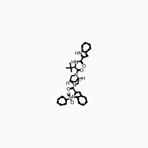 CC(C)(C)C(NC(=O)c1cc2ccccc2[nH]1)C(=O)N1C[C@@H]2C[C@H]1CN2C(=O)c1cc2ccccc2n1S(=O)(=O)c1ccccc1